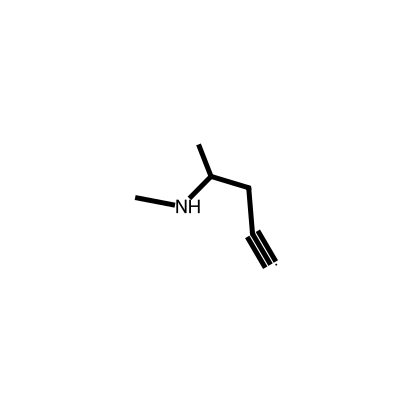 [C]#CCC(C)NC